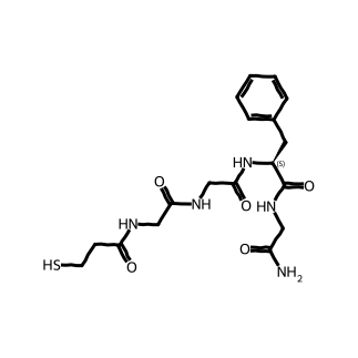 NC(=O)CNC(=O)[C@H](Cc1ccccc1)NC(=O)CNC(=O)CNC(=O)CCS